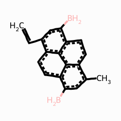 Bc1cc(C)c2ccc3c(B)cc(C=C)c4ccc1c2c34